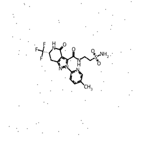 Cc1ccc(-n2nc3c(c2C(=O)NCCS(N)(=O)=O)C(=O)N[C@@H](C(F)(F)F)C3)nc1